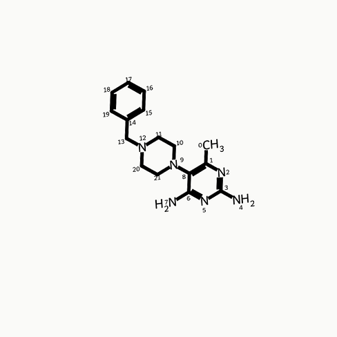 Cc1nc(N)nc(N)c1N1CCN(Cc2ccccc2)CC1